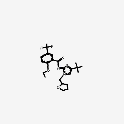 CCOc1ccc(C(F)(F)F)cc1C(=S)/N=c1\sc(C(C)(C)C)cn1CC1CCCO1